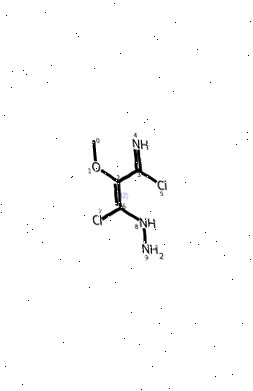 CO/C(C(=N)Cl)=C(\Cl)NN